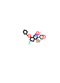 [O-][n+]1cc2c(OCc3ccccc3)cc(F)cc2c(Br)c1C1CCOCC1